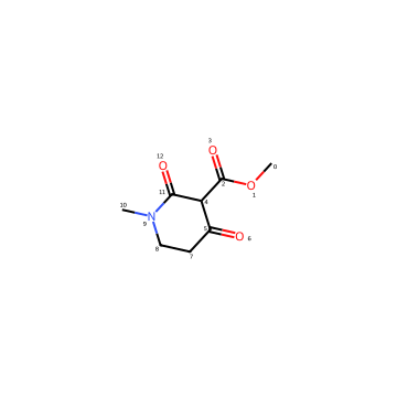 COC(=O)C1C(=O)CCN(C)C1=O